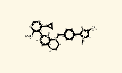 COc1ncnc(C2CC2)c1-c1ncc2c(n1)N(Cc1ccc(-c3nc(C(F)(F)F)cn3C)cc1)CCO2